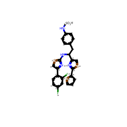 O=S(=O)(O)Nc1ccc(CC(Nc2nc(-c3ccc(F)cc3F)cs2)c2csc(-c3cccs3)n2)cc1